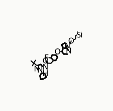 CC(C)(C)c1cc(NC(=O)Cc2ccc(Oc3ccnc4c3ccn4COCC[Si](C)(C)C)cc2F)n(-c2ccccc2)n1